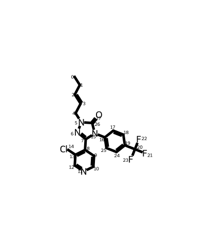 CC/C=C/Cn1nc(-c2ccncc2Cl)n(-c2ccc(C(F)(F)F)cc2)c1=O